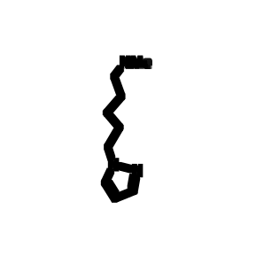 CNCCCCCn1cccn1